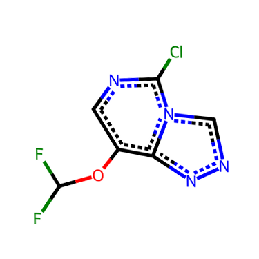 FC(F)Oc1cnc(Cl)n2cnnc12